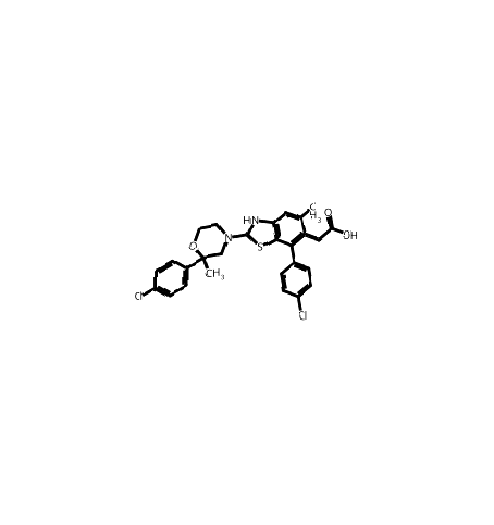 Cc1cc2c(c(-c3ccc(Cl)cc3)c1CC(=O)O)SC(N1CCOC(C)(c3ccc(Cl)cc3)C1)N2